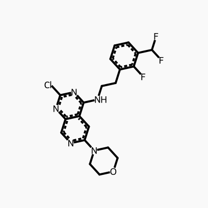 Fc1c(CCNc2nc(Cl)nc3cnc(N4CCOCC4)cc23)cccc1C(F)F